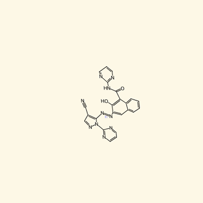 N#Cc1cnn(-c2ncccn2)c1/N=N/c1cc2ccccc2c(C(=O)Nc2ncccn2)c1O